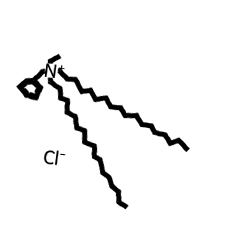 CCCCCCCCCCCCCCCCCC[N+](CC)(CCCCCCCCCCCCCCCCCC)Cc1ccccc1.[Cl-]